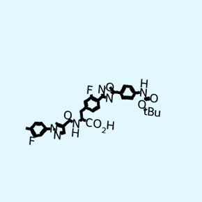 Cc1ccc(-n2cc(C(=O)NC(Cc3ccc(-c4noc(-c5ccc(NC(=O)OC(C)(C)C)cc5)n4)c(F)c3)C(=O)O)cn2)cc1F